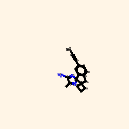 CC1=NC2(N=C1N)c1cc(C#CC(C)(C)C)ccc1CC21CCC1